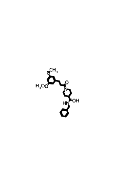 COc1cc(CCC(=O)N2CCC([C@@H](O)NCc3ccccc3)CC2)cc(OC)c1